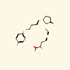 COC(=O)C(O)CC=C=CC[C@H]1C(=O)CC[C@@H]1/C=C/CCOc1ccc(Cl)cc1